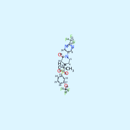 CC(C)([C@@H]1CCN(c2cnc(C(F)(F)F)nc2)C(=O)C1)S(=O)(=O)c1cccc(OC(F)(F)F)c1